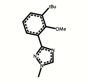 COc1c(-c2ncn(C)n2)cccc1C(C)(C)C